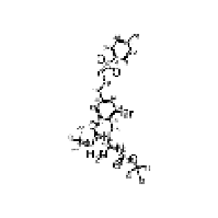 Cc1ccc(S(=O)(=O)OCCc2ccc(CN(C(=O)OC(C)(C)C)C(N)=NC(=O)OC(C)(C)C)c(Br)c2)cc1